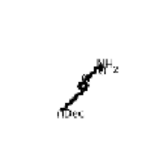 CCCCCCCCCCCCCCCCCCc1ccc(OCCCCC(N)=O)cc1